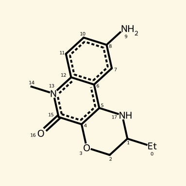 CCC1COc2c(c3cc(N)ccc3n(C)c2=O)N1